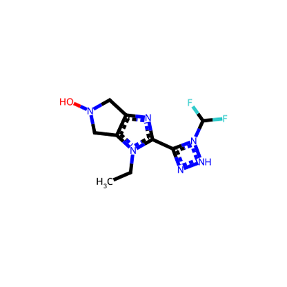 CCn1c(-c2n[nH]n2C(F)F)nc2c1CN(O)C2